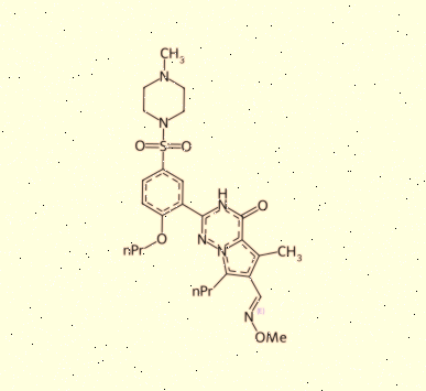 CCCOc1ccc(S(=O)(=O)N2CCN(C)CC2)cc1-c1nn2c(CCC)c(/C=N/OC)c(C)c2c(=O)[nH]1